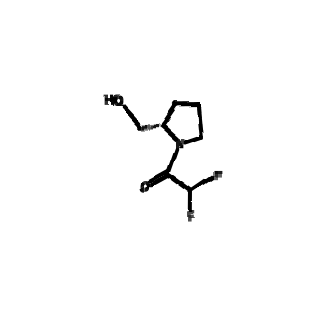 O=C(C(F)F)N1CCC[C@H]1CO